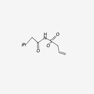 C=CCS(=O)(=O)NC(=O)CC(C)C